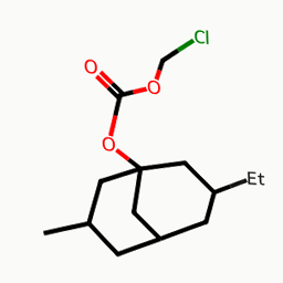 CCC1CC2CC(C)CC(OC(=O)OCCl)(C1)C2